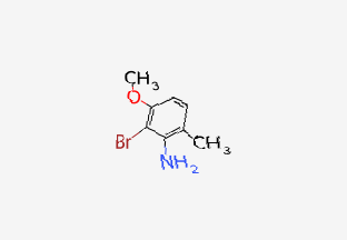 COc1ccc(C)c(N)c1Br